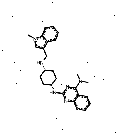 CN(C)c1nc(N[C@H]2CC[C@@H](NCc3cn(C)c4ccccc34)CC2)nc2ccccc12